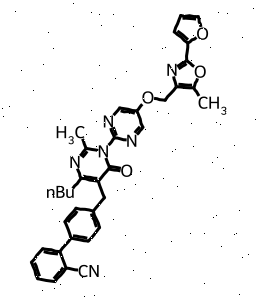 CCCCc1nc(C)n(-c2ncc(OCc3nc(-c4ccco4)oc3C)cn2)c(=O)c1Cc1ccc(-c2ccccc2C#N)cc1